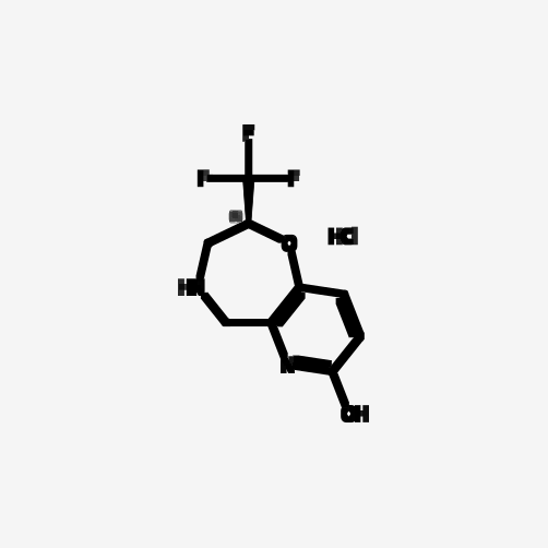 Cl.Oc1ccc2c(n1)CNC[C@@H](C(F)(F)F)O2